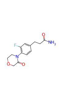 NC(=O)CCc1ccc(N2CCOCC2=O)c(F)c1